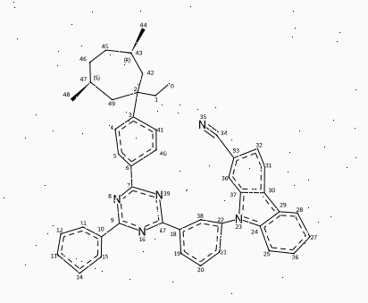 CCC1(c2ccc(-c3nc(-c4ccccc4)nc(-c4cccc(-n5c6ccccc6c6ccc(C#N)cc65)c4)n3)cc2)C[C@H](C)CC[C@H](C)C1